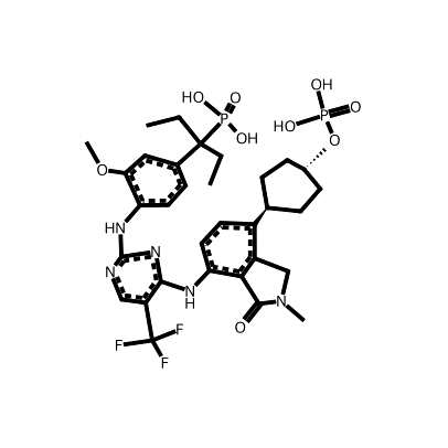 CCC(CC)(c1ccc(Nc2ncc(C(F)(F)F)c(Nc3ccc([C@H]4CC[C@H](OP(=O)(O)O)CC4)c4c3C(=O)N(C)C4)n2)c(OC)c1)P(=O)(O)O